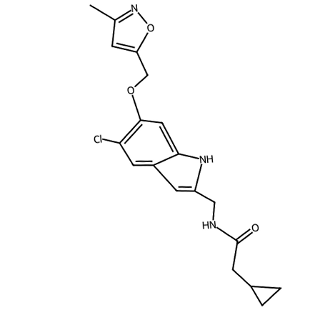 Cc1cc(COc2cc3[nH]c(CNC(=O)CC4CC4)cc3cc2Cl)on1